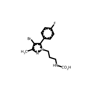 Cc1nn(CCCNC(=O)O)c(-c2ccc(F)cc2)c1Br